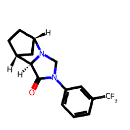 O=C1[C@H]2[C@@H]3CC[C@@H](C3)N2CN1c1cccc(C(F)(F)F)c1